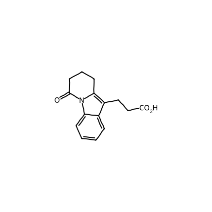 O=C(O)CCc1c2n(c3ccccc13)C(=O)CCC2